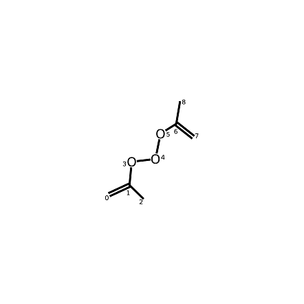 C=C(C)OOOC(=C)C